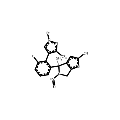 CCn1cc(-c2c(F)cccc2[C@@]2([SiH3])c3cc(C#N)sc3CN2[SH]=O)c(C(F)(F)F)n1